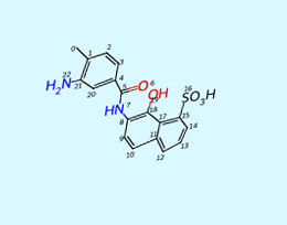 Cc1ccc(C(=O)Nc2ccc3cccc(S(=O)(=O)O)c3c2O)cc1N